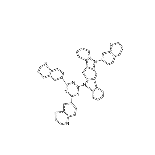 c1cnc2ccc(-c3nc(-c4ccc5ncccc5c4)nc(-n4c5ccccc5c5cc6c(cc54)c4ccccc4n6-c4ccc5cccnc5c4)n3)cc2c1